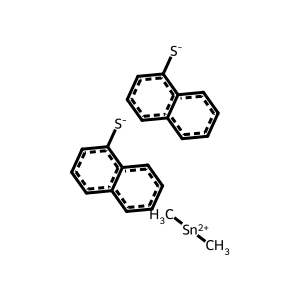 [CH3][Sn+2][CH3].[S-]c1cccc2ccccc12.[S-]c1cccc2ccccc12